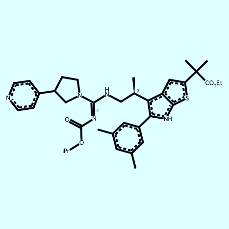 CCOC(=O)C(C)(C)c1cc2c([C@H](C)CN/C(=N/C(=O)OC(C)C)N3CCC(c4ccncc4)C3)c(-c3cc(C)cc(C)c3)[nH]c2s1